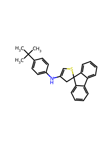 CC(C)(C)c1ccc(NC2=CSC3(C2)c2ccccc2-c2ccccc23)cc1